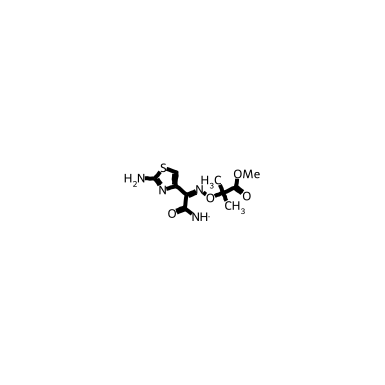 COC(=O)C(C)(C)ON=C(C([NH])=O)c1csc(N)n1